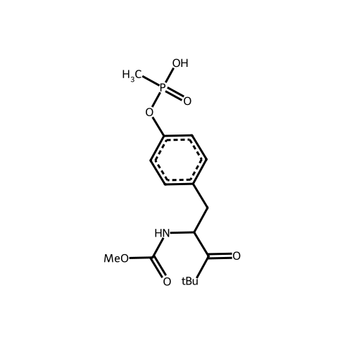 COC(=O)NC(Cc1ccc(OP(C)(=O)O)cc1)C(=O)C(C)(C)C